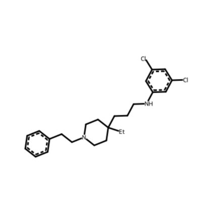 CCC1(CCCNc2cc(Cl)cc(Cl)c2)CCN(CCc2ccccc2)CC1